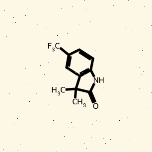 CC1(C)C(=O)Nc2ccc(C(F)(F)F)cc21